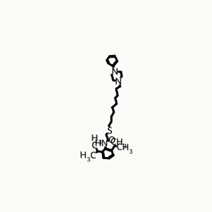 CC(C)c1cccc(C(C)C)c1NC(=O)CSCCCCCCCCCCN1CCN(c2ccccc2)CC1